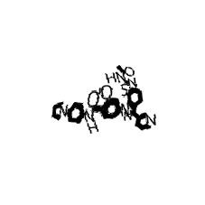 COc1cc(-n2nc(-c3cccnc3)c3c2-c2sc(NC(C)=O)nc2CC3)ccc1C(=O)NC1CCC(N2CCCC2)CC1